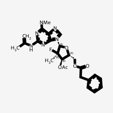 C=C(C)Nc1nc(NC)c2ncn([C@@H]3O[C@H](COC(=O)Cc4ccccc4)[C@@H](OC(C)=O)[C@@]3(C)F)c2n1